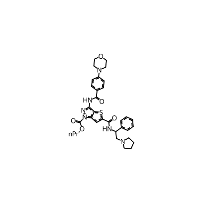 CCCOC(=O)n1nc(NC(=O)c2ccc(N3CCOCC3)cc2)c2sc(C(=O)NC(CN3CCCC3)c3ccccc3)cc21